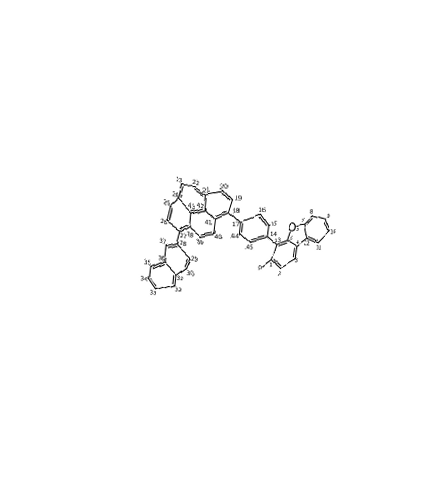 Cc1ccc2c(oc3ccccc32)c1-c1ccc(-c2ccc3ccc4ccc(-c5ccc6ccccc6c5)c5ccc2c3c45)cc1